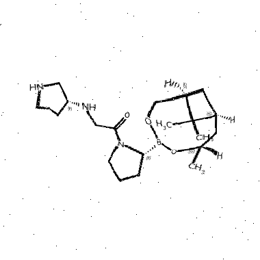 C[C@H]1C[C@@H]2C[C@H](COB([C@@H]3CCCN3C(=O)CN[C@@H]3CCNC3)O1)C2(C)C